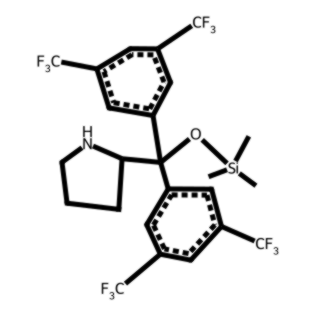 C[Si](C)(C)OC(c1cc(C(F)(F)F)cc(C(F)(F)F)c1)(c1cc(C(F)(F)F)cc(C(F)(F)F)c1)C1CCCN1